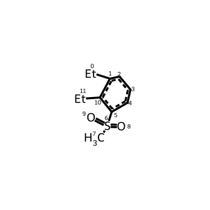 CCc1cccc(S(C)(=O)=O)c1CC